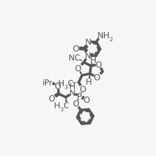 CC(C)OC(=O)[C@H](C)NP(=O)(Oc1ccccc1)O[C@H](C)[C@H]1O[C@@](C#N)(n2ccc(N)nc2=O)[C@@H]2OCO[C@H]12